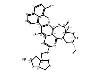 CC[C@@H]1CN2c3nc(OC[C@@]45CCCN4C[C@H](F)C5)nc4c(F)c(-c5cccc6ccc(F)c(C)c56)nc(c34)O[C@@H](C)[C@@H]2CN1